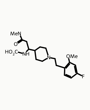 CNC(=O)CC(NC(=O)O)C1CCN(CCc2ccc(F)cc2OC)CC1